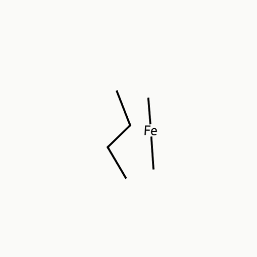 CCCC.[CH3][Fe][CH3]